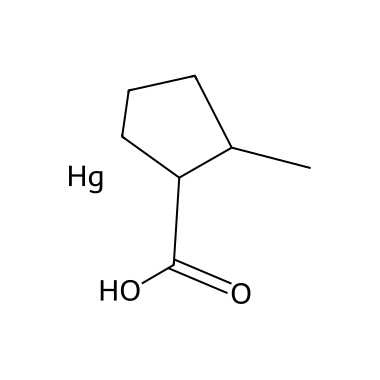 CC1CCCC1C(=O)O.[Hg]